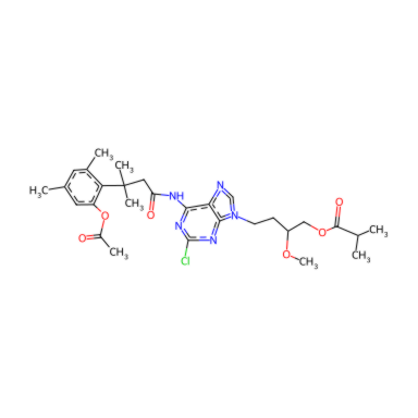 COC(CCn1cnc2c(NC(=O)CC(C)(C)c3c(C)cc(C)cc3OC(C)=O)nc(Cl)nc21)COC(=O)C(C)C